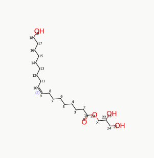 O=C(CCCCCCC/C=C\CCCCCCCCO)OCC(O)CO